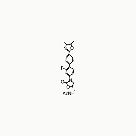 CC(=O)NC[C@H]1CN(c2ccc(-c3ccc(-c4nc(C)c(C)o4)cc3)c(F)c2)C(=O)O1